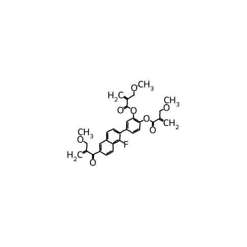 C=C(COC)C(=O)Oc1ccc(-c2ccc3cc(C(=O)C(=C)COC)ccc3c2F)cc1OC(=O)C(=C)COC